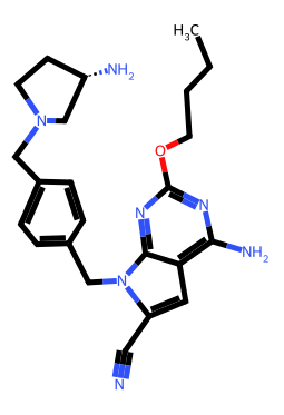 CCCCOc1nc(N)c2cc(C#N)n(Cc3ccc(CN4CC[C@H](N)C4)cc3)c2n1